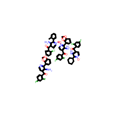 Cc1ccccc1-c1c(N)c(C(=O)c2ccccc2Cl)cc[n+]1[O-].Nc1c(C(=O)c2ccc(F)cc2F)cc[n+]([O-])c1-c1cccc2c1OCO2.Nc1c(C(=O)c2ccc(F)cc2F)cc[n+]([O-])c1C1CCCCC1.Nc1c(C(=O)c2ccc(F)cc2F)ccnc1-c1cccc2c1OCO2